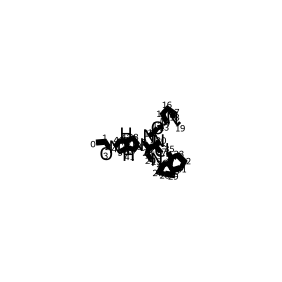 C=CC(=O)N1C[C@H]2CN(c3nc(OC[C@@H]4CCCN4C)nc4c3CCN(c3cccc5cccc(Cl)c35)C4)C[C@@H]2C1